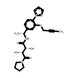 CC#CCOc1cc([C@@H](C)NC(=O)[C@H](O)[C@@H](O)C(=O)N2CCCC2)ccc1-n1cccn1